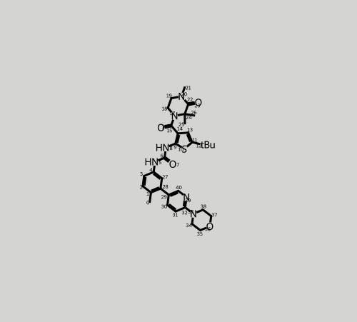 Cc1ccc(NC(=O)Nc2sc(C(C)(C)C)cc2C(=O)N2CCN(C)C(=O)C2(C)C)cc1-c1ccc(N2CCOCC2)nc1